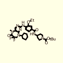 CCOc1cc(C(=O)NC2CCN(C(=O)OC(C)(C)C)CC2)ccc1Nc1ncc2c(n1)N(C1CCCCC1)CC(F)(F)C(=O)N2C